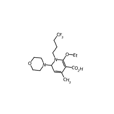 CCOC1=C(C(=O)O)C(C)=CC(N2CCOCC2)N1CCCC(F)(F)F